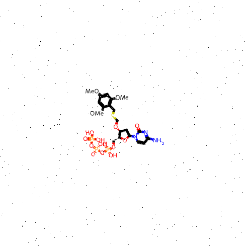 COc1cc(OC)c(CSCO[C@H]2CC(n3ccc(N)nc3=O)O[C@@H]2COP(=O)(O)OP(=O)(O)OP(=O)(O)O)c(OC)c1